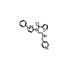 CN(CCN(C(=O)c1cccs1)c1ccn(-c2ccccc2)n1)Cc1ccncc1